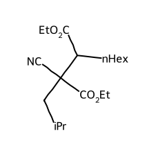 CCCCCCC(C(=O)OCC)C(C#N)(CC(C)C)C(=O)OCC